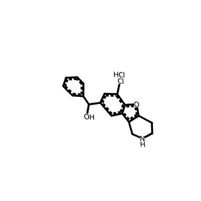 Cl.OC(c1ccccc1)c1cc(Cl)c2oc3c(c2c1)CNCC3